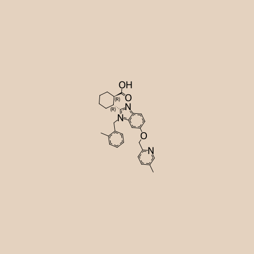 Cc1ccc(COc2ccc3nc([C@@H]4CCCC[C@H]4C(=O)O)n(Cc4ccccc4C)c3c2)nc1